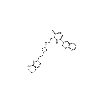 O=C(NC(CCO[C@H]1C[C@H](CCc2ccc3c(n2)NCCC3)C1)C(=O)O)c1ccc2ncccc2c1